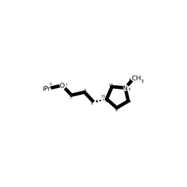 CC(C)OCCC[C@H]1CCN(C)C1